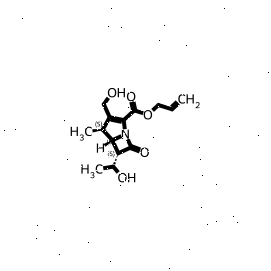 C=CCOC(=O)C1=C(CO)[C@H](C)[C@H]2[C@@H](C(C)O)C(=O)N12